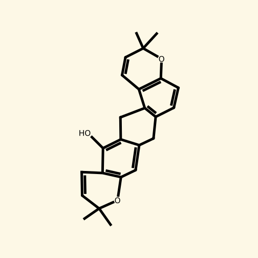 CC1(C)C=Cc2c(cc3c(c2O)Cc2c(ccc4c2C=CC(C)(C)O4)C3)O1